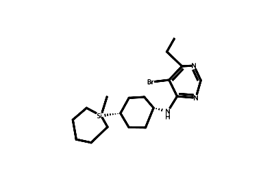 CCc1ncnc(N[C@H]2CC[C@@H]([Si]3(C)CCCCC3)CC2)c1Br